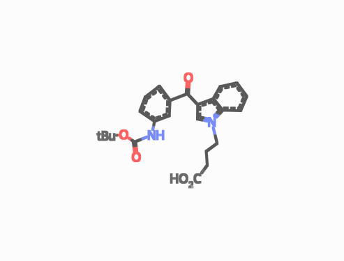 CC(C)(C)OC(=O)Nc1cccc(C(=O)c2cn(CCCC(=O)O)c3ccccc23)c1